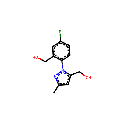 Cc1cc(CO)n(-c2ccc(F)cc2CO)n1